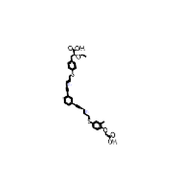 CCOC(Cc1ccc(SC/C=C/C#Cc2cccc(C#C/C=C/CSc3ccc(OCC(=O)O)c(C)c3)c2)cc1)C(=O)O